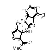 COC(=O)C1SC=C(C)C1Nc1nc2c(Cl)ncnc2s1